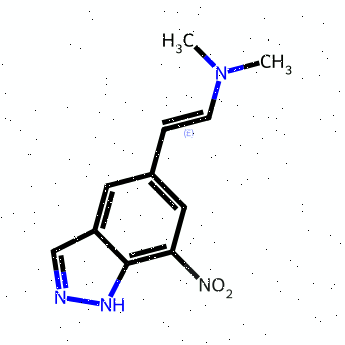 CN(C)/C=C/c1cc([N+](=O)[O-])c2[nH]ncc2c1